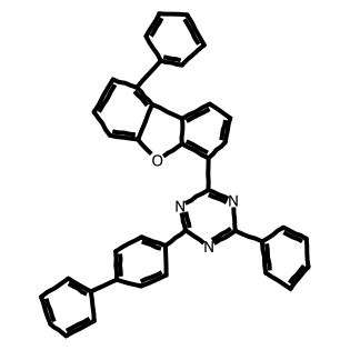 c1ccc(-c2ccc(-c3nc(-c4ccccc4)nc(-c4cccc5c4oc4cccc(-c6ccccc6)c45)n3)cc2)cc1